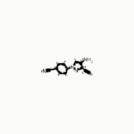 N#Cc1ccc(-n2cc(N)c(C#N)n2)cc1